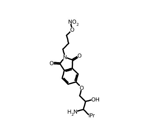 CC(C)C(N)C(O)COc1ccc2c(c1)C(=O)N(CCCO[N+](=O)[O-])C2=O